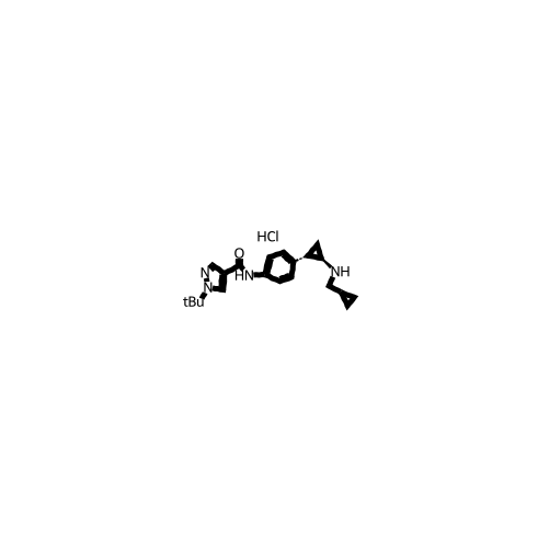 CC(C)(C)n1cc(C(=O)Nc2ccc([C@@H]3C[C@H]3NCC3CC3)cc2)cn1.Cl